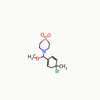 COC(C1=CCC(C)(Br)C=C1)N1CCS(=O)(=O)CC1